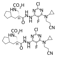 N#CCCN(c1nc(Cl)nc(NNC(=O)[C@@H](CNC(=O)O)CC2CCCC2)c1F)C1CC1.N#CCCN(c1nc(Cl)nc(NNC(=O)[C@@H](CNC(=O)O)CC2CCCC2)c1F)C1CC1